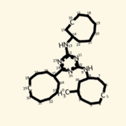 CC1CCCCCCC(Nc2nc(NC3CCCCCCCC3)nc(C3CCCCCCCCC3)n2)C1